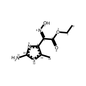 CCOC(=O)C(=NO)c1nc(N)sc1C